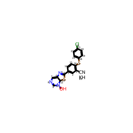 N#Cc1cc(C2=NC3=CN=CN(O)C3S2)ccc1Sc1ccc(Cl)cc1.[KH]